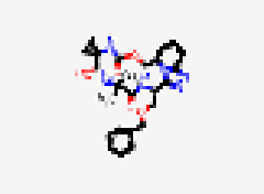 CC(C)(N)C(=O)N[C@H](COCc1ccccc1)c1nnc2cccc(COC(=O)NC3(CO)CC3)n12